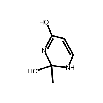 CC1(O)N=C(O)C=CN1